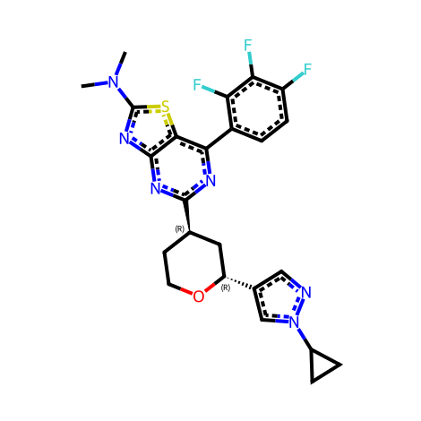 CN(C)c1nc2nc([C@@H]3CCO[C@@H](c4cnn(C5CC5)c4)C3)nc(-c3ccc(F)c(F)c3F)c2s1